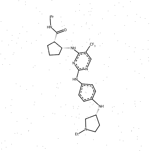 CCN1CC[C@@H](Nc2ccc(Nc3ncc(C(F)(F)F)c(N[C@@H]4CCC[C@@H]4C(=O)NC(C)C)n3)cc2)C1